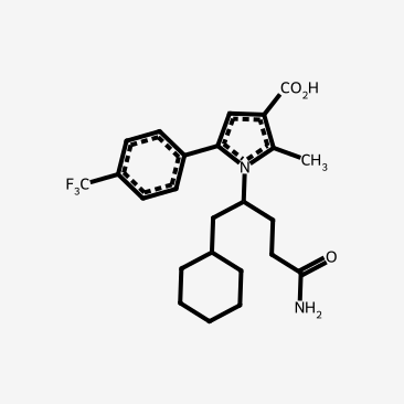 Cc1c(C(=O)O)cc(-c2ccc(C(F)(F)F)cc2)n1C(CCC(N)=O)CC1CCCCC1